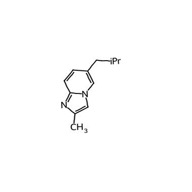 Cc1cn2cc(CC(C)C)ccc2n1